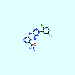 NC(=O)c1cnccc1Nc1nc(-c2cc(Cl)ccc2F)ncc1I